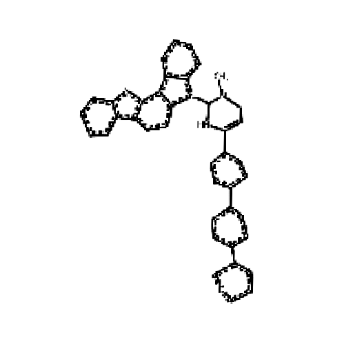 CN1CC=C(c2ccc(-c3ccc(-c4ccccc4)cc3)cc2)NC1n1c2ccccc2c2c3sc4ccccc4c3ccc21